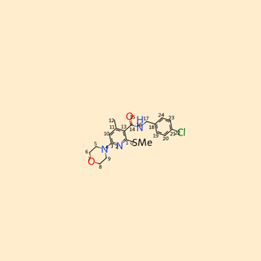 CSc1nc(N2CCOCC2)cc(C)c1C(=O)NCc1ccc(Cl)cc1